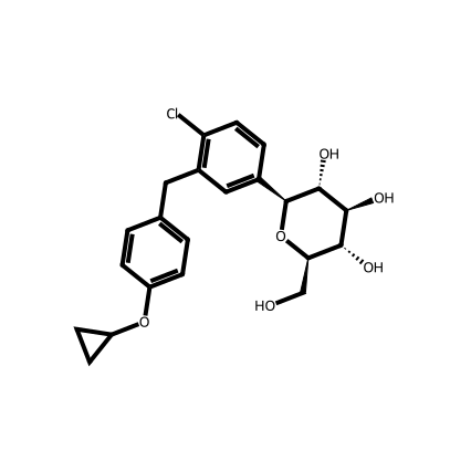 OC[C@H]1O[C@@H](c2ccc(Cl)c(Cc3ccc(OC4CC4)cc3)c2)[C@H](O)[C@@H](O)[C@@H]1O